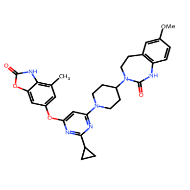 COc1ccc2c(c1)CCN(C1CCN(c3cc(Oc4cc(C)c5[nH]c(=O)oc5c4)nc(C4CC4)n3)CC1)C(=O)N2